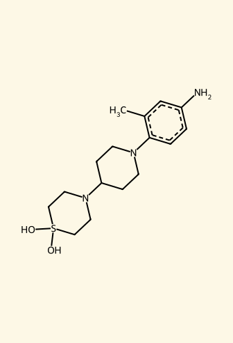 Cc1cc(N)ccc1N1CCC(N2CCS(O)(O)CC2)CC1